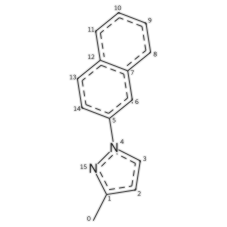 Cc1ccn(-c2[c]c3ccccc3cc2)n1